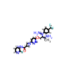 C/C(N)=C(\COc1ccc(N2CC(C(=O)Nc3cccnc3F)C2)nn1)N(N)c1ccc(C(F)F)cc1